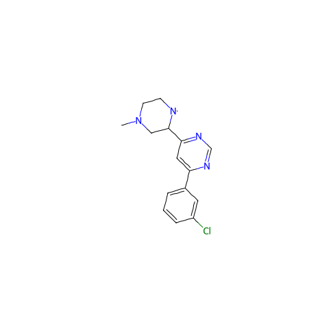 CN1CC[N]C(c2cc(-c3cccc(Cl)c3)ncn2)C1